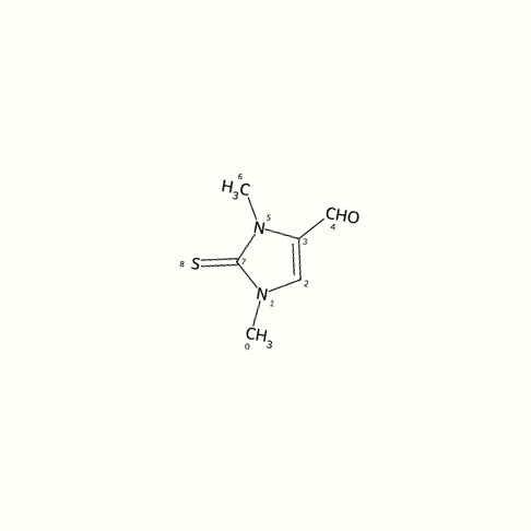 Cn1cc(C=O)n(C)c1=S